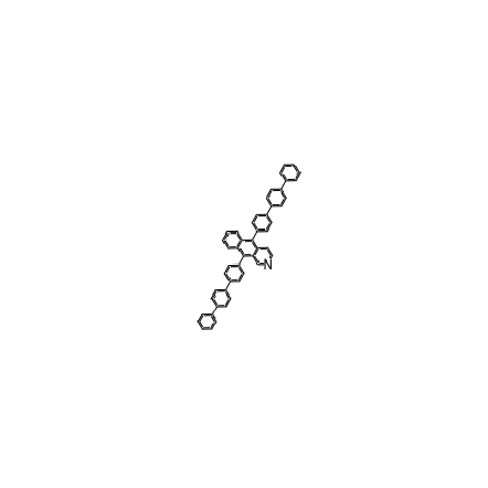 c1ccc(-c2ccc(-c3ccc(-c4c5ccccc5c(-c5ccc(-c6ccc(-c7ccccc7)cc6)cc5)c5cnccc45)cc3)cc2)cc1